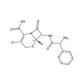 NC(C(=O)NC1C(=O)N2C(C(=O)O)=C(Cl)CS[C@@H]12)c1ccccc1